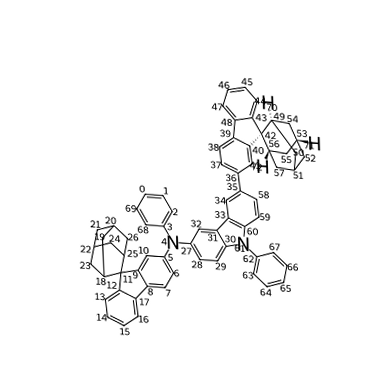 c1ccc(N(c2ccc3c(c2)C2(c4ccccc4-3)C3CC4CC(C3)CC2C4)c2ccc3c(c2)c2cc(-c4ccc5c(c4)[C@]4(c6ccccc6-5)[C@@H]5CC6C[C@@H](C5)C[C@@H]4C6)ccc2n3-c2ccccc2)cc1